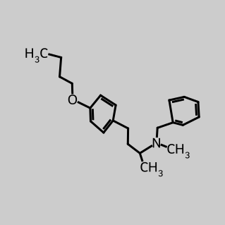 CCCCOc1ccc(CCC(C)N(C)Cc2ccccc2)cc1